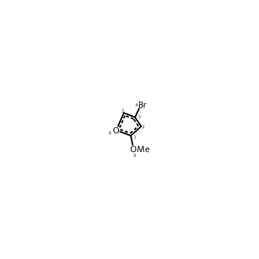 COc1cc(Br)co1